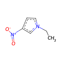 CCn1ccc([N+](=O)[O-])c1